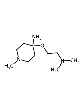 CN(C)CCOC1(N)CCN(C)CC1